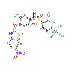 O=[N+]([O-])c1ccc2nc(Oc3ccc(NS(=O)(=O)c4ccc(C(F)(F)F)cc4Cl)cc3Cl)sc2c1